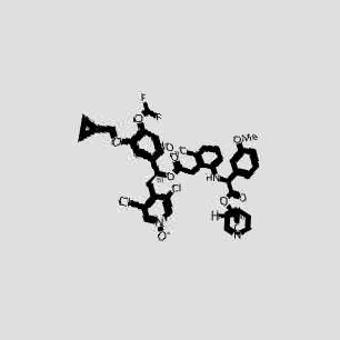 COc1cccc(C(Nc2cccc(C(=O)O)c2CC(=O)O[C@@H](Cc2c(Cl)c[n+]([O-])cc2Cl)c2ccc(OC(F)F)c(OCC3CC3)c2)C(=O)O[C@H]2CN3CCC2CC3)c1